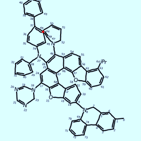 Cc1ccc2c(c1)CN(c1ccc3c(c1)oc1c(N4C=NC=NC4)cc4c(N(c5ccccc5)c5ccc(-c6ccccc6)cc5)c(N5C=CC=CC5)c5ccc6c(oc7cccc(C(C)C)c76)c5c4c13)c1ccccc1-2